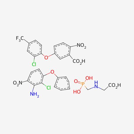 Nc1c([N+](=O)[O-])ccc(Oc2ccccc2)c1Cl.O=C(O)CNCP(=O)(O)O.O=C(O)c1cc(Oc2ccc(C(F)(F)F)cc2Cl)ccc1[N+](=O)[O-]